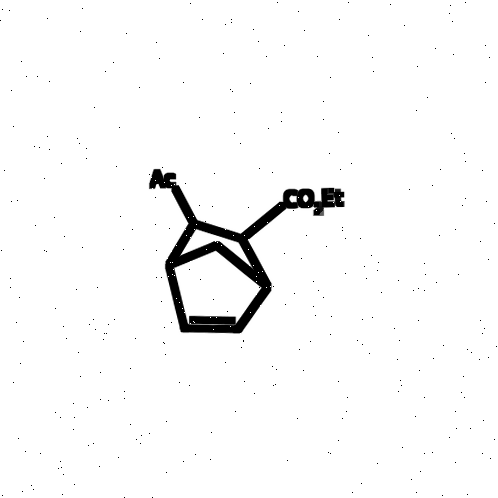 CCOC(=O)C1C2C=CC(C2)C1C(C)=O